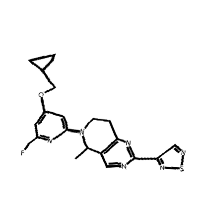 CC1c2cnc(-c3cnsn3)nc2CCN1c1cc(OCC2CC2)cc(F)n1